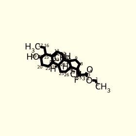 CCOC(=O)C(F)=C1CC[C@H]2[C@@H]3CC=C4C(CC)[C@@H](O)CC[C@]4(C)[C@H]3CC[C@]12C